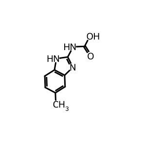 Cc1ccc2[nH]c(NC(=O)O)nc2c1